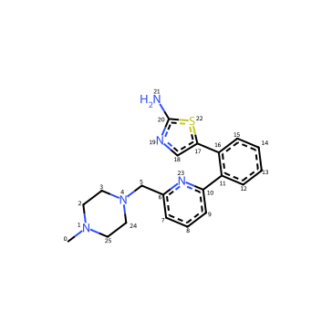 CN1CCN(Cc2cccc(-c3ccccc3-c3cnc(N)s3)n2)CC1